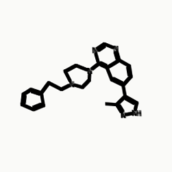 Cc1n[nH]cc1-c1ccc2ncnc(N3CCN(CCc4ccccc4)CC3)c2c1